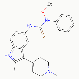 CCON(C(=S)Nc1ccc2[nH]c(C)c(C3=CCN(C)CC3)c2c1)c1ccccc1